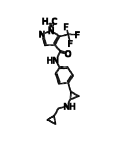 Cn1ncc(C(=O)Nc2ccc(C3CC3NCC3CC3)cc2)c1C(F)(F)F